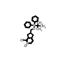 CC(C)(C)[Si](OCC1Cc2cc[n+]([O-])c(Cl)c2C1)(c1ccccc1)c1ccccc1